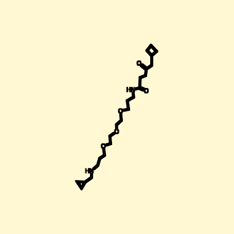 O=C(CCC(=O)NCCCOCCOCCOCCCNCC1CC1)CC1CCC1